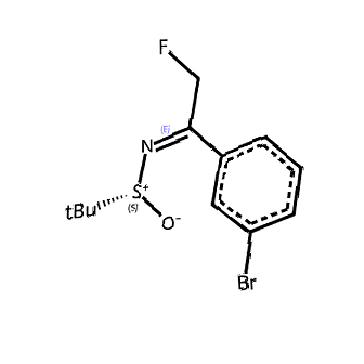 CC(C)(C)[S@@+]([O-])/N=C(/CF)c1cccc(Br)c1